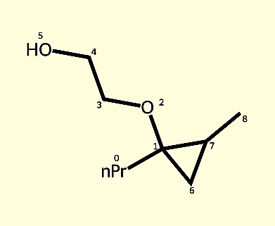 CCCC1(OCCO)CC1C